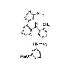 COc1cc(NC(=O)c2ccc(C)c(Nc3ncncc3-c3cc(N)ncn3)c2)ccn1